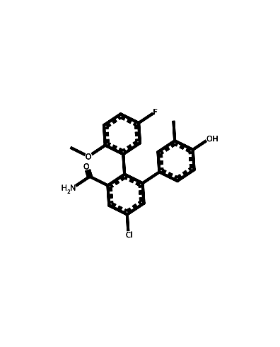 COc1ccc(F)cc1-c1c(C(N)=O)cc(Cl)cc1-c1ccc(O)c(C)c1